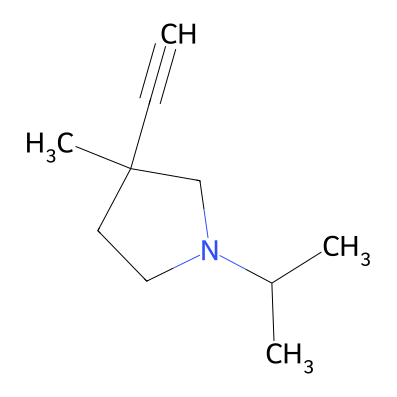 C#CC1(C)CCN(C(C)C)C1